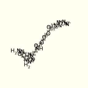 [N-]=[N+]=Nc1cnc(N2CCC(C(=O)CCOCCOCCOCCC(=O)NCCCCn3nc(-c4ccc5oc(N)nc5c4)c4c(N)ncnc43)CC2)nc1